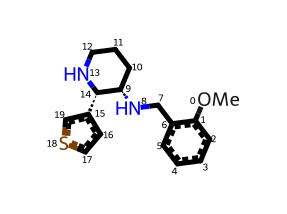 COc1ccccc1CN[C@H]1CCCN[C@H]1c1ccsc1